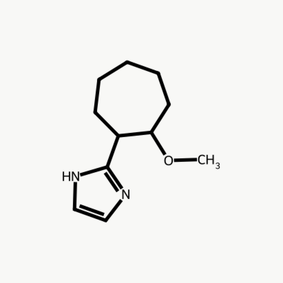 COC1CCCCCC1c1ncc[nH]1